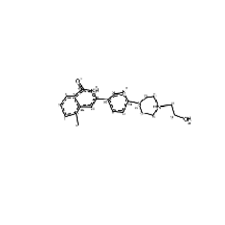 Cc1cccc2c(=O)[nH]c(-c3ccc(N4CCN(CCO)CC4)nc3)cc12